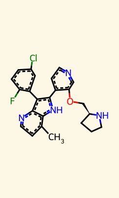 Cc1ccnc2c(-c3cc(Cl)ccc3F)c(-c3ccncc3OC[C@@H]3CCCN3)[nH]c12